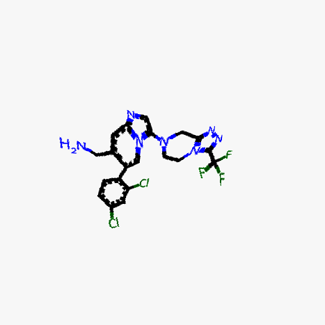 NCc1cc2ncc(N3CCn4c(nnc4C(F)(F)F)C3)n2cc1-c1ccc(Cl)cc1Cl